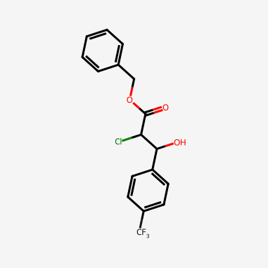 O=C(OCc1ccccc1)C(Cl)C(O)c1ccc(C(F)(F)F)cc1